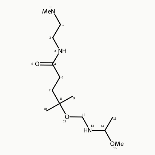 CNCCNC(=O)CCC(C)(C)OCNC(C)OC